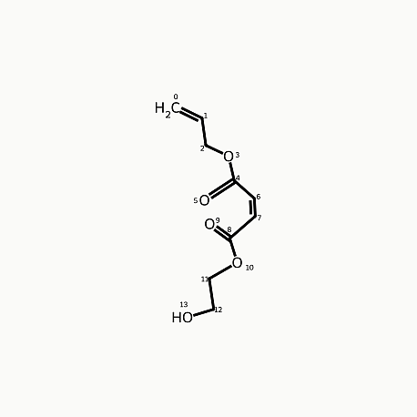 C=CCOC(=O)/C=C\C(=O)OCCO